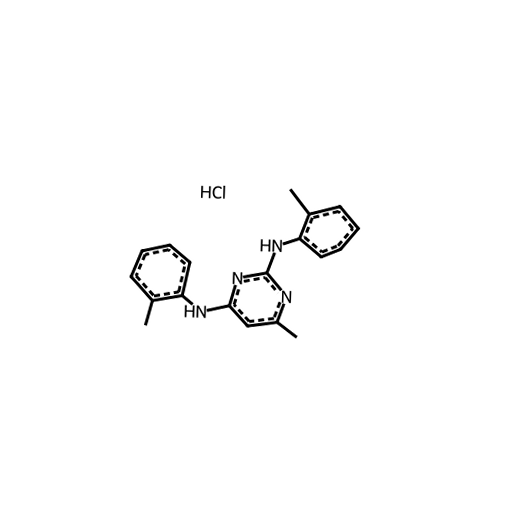 Cc1cc(Nc2ccccc2C)nc(Nc2ccccc2C)n1.Cl